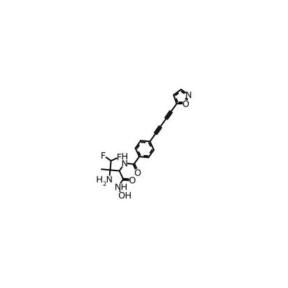 CC(N)(C(F)F)C(NC(=O)c1ccc(C#CC#Cc2ccno2)cc1)C(=O)NO